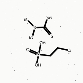 CCN(CC)C(=S)S.O=P(O)(O)CCCl